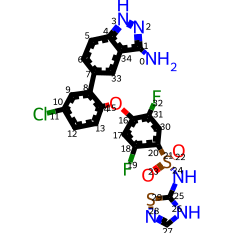 Nc1n[nH]c2ccc(-c3cc(Cl)ccc3Oc3cc(F)c(S(=O)(=O)NC4NC=NS4)cc3F)cc12